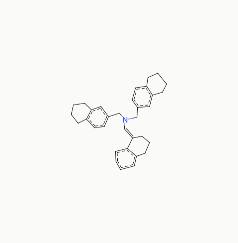 C(=C1/CCCc2ccccc21)/N(Cc1ccc2c(c1)CCCC2)Cc1ccc2c(c1)CCCC2